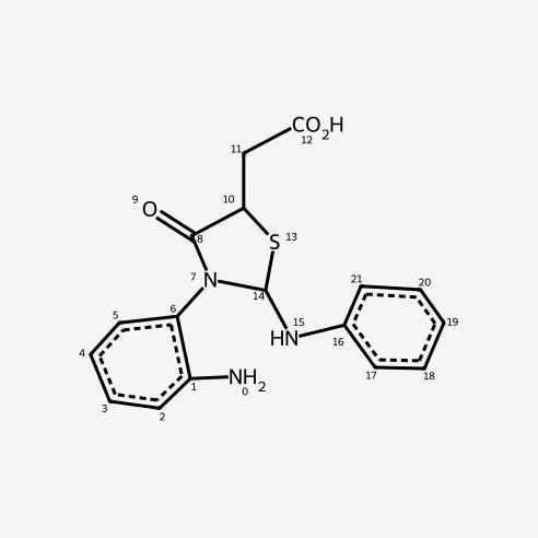 Nc1ccccc1N1C(=O)C(CC(=O)O)SC1Nc1ccccc1